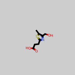 Cc1sc(CCC(=O)O)nc1CO